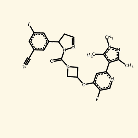 Cc1nn(C)c(C)c1-c1cc(OC2CN(C(=O)N3N=CCC3c3cc(F)cc(C#N)c3)C2)c(F)cn1